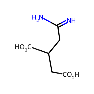 N=C(N)CC(CC(=O)O)C(=O)O